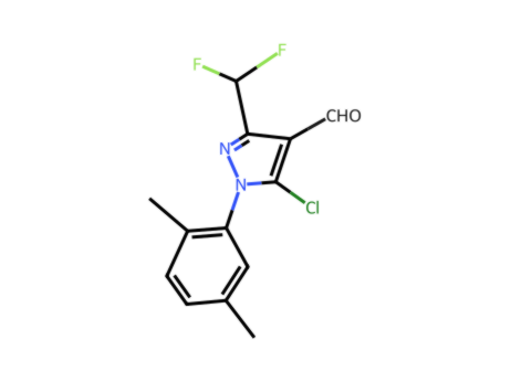 Cc1ccc(C)c(-n2nc(C(F)F)c(C=O)c2Cl)c1